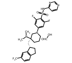 CN(C)[C@]1(C[C@@H]2CCc3ccc(C(F)(F)F)cc32)CCCN(c2cc(F)c(S(=O)(=O)Nc3ccncn3)c(F)c2)C1.O=CO